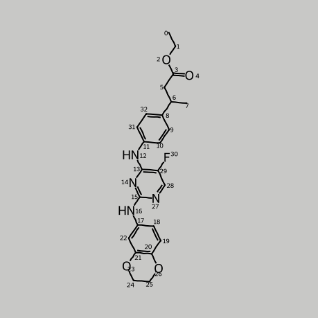 CCOC(=O)CC(C)c1ccc(Nc2nc(Nc3ccc4c(c3)OCCO4)ncc2F)cc1